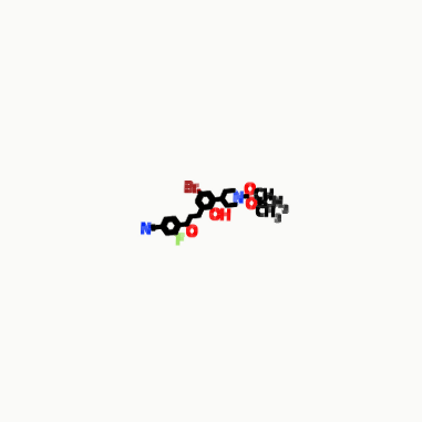 CC(C)(C)OC(=O)N1CCC(c2cc(Br)cc(CCC(=O)c3ccc(C#N)cc3F)c2O)CC1